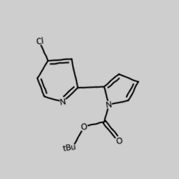 CC(C)(C)OC(=O)n1cccc1-c1cc(Cl)ccn1